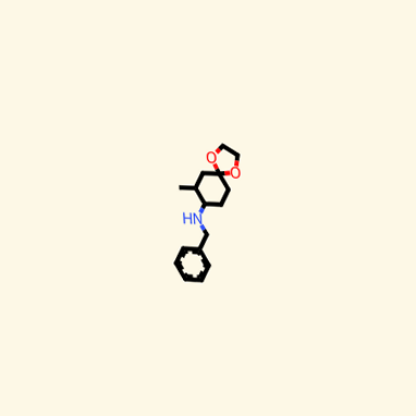 CC1CC2(CCC1NCc1ccccc1)OCCO2